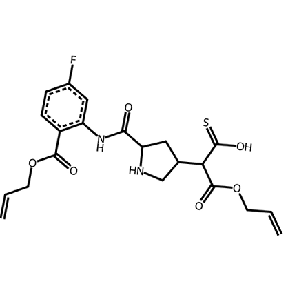 C=CCOC(=O)c1ccc(F)cc1NC(=O)C1CC(C(C(=O)OCC=C)C(O)=S)CN1